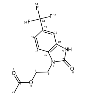 CC(=O)OCCn1c(=O)[nH]c2cc(C(F)(F)F)ccc21